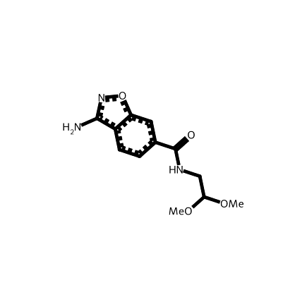 COC(CNC(=O)c1ccc2c(N)noc2c1)OC